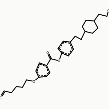 C=CCCCCOc1ccc(C(=O)Oc2ccc(CCC3CCC(CCC)CC3)cc2)cc1